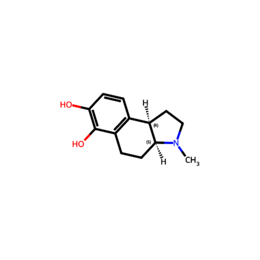 CN1CC[C@@H]2c3ccc(O)c(O)c3CC[C@@H]21